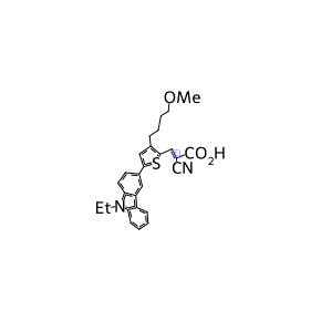 CCn1c2ccccc2c2cc(-c3cc(CCCCOC)c(/C=C(\C#N)C(=O)O)s3)ccc21